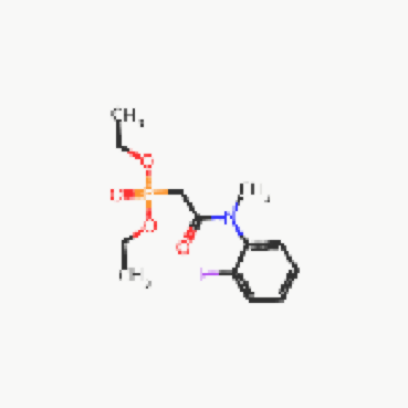 CCOP(=O)(CC(=O)N(C)c1ccccc1I)OCC